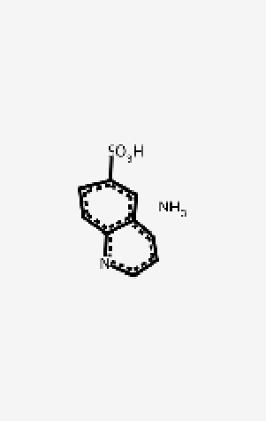 N.O=S(=O)(O)c1ccc2ncccc2c1